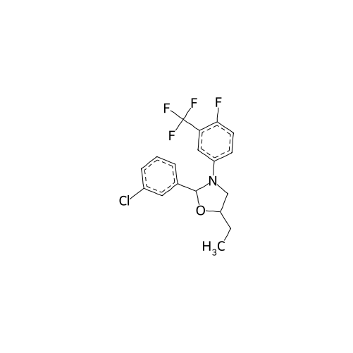 CCC1CN(c2ccc(F)c(C(F)(F)F)c2)C(c2cccc(Cl)c2)O1